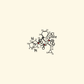 COC(=O)c1ncc(N2[C@@H]3CC[C@H]2C[C@@H](OC(=O)c2c(-c4c(Cl)cccc4Cl)noc2C2CC2)C3)cn1